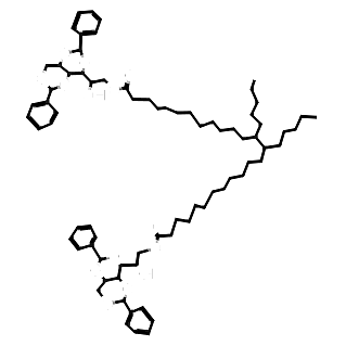 CCCCCC(CCCCCCCCCCCC(=O)OCC(O)C1OC(c2ccccc2)OC2COC(c3ccccc3)OC21)C(CCCCC)CCCCCCCCCCCC(=O)OCC(O)C1OC(c2ccccc2)OC2COC(c3ccccc3)OC21